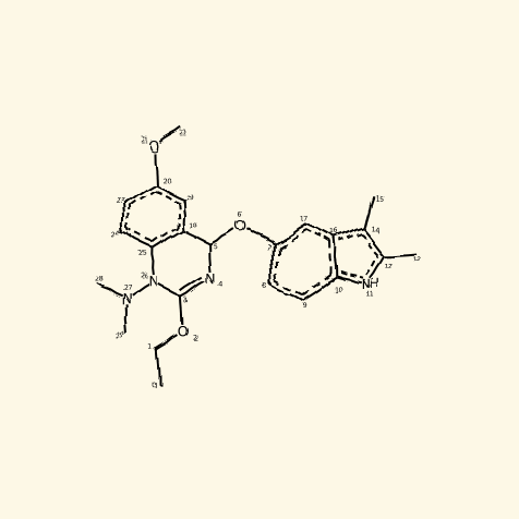 CCOC1=NC(Oc2ccc3[nH]c(C)c(C)c3c2)c2cc(OC)ccc2N1N(C)C